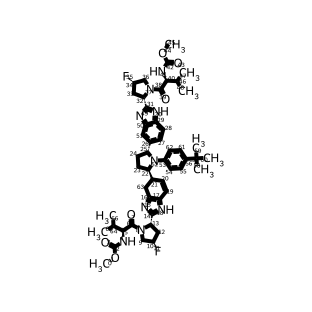 COC(=O)N[C@H](C(=O)N1C[C@@H](F)C[C@H]1c1nc2c([nH]1)C=CC([C@H]1CC[C@H](c3ccc4[nH]c([C@@H]5C[C@H](F)CN5C(=O)[C@@H](NC(=O)OC)C(C)C)nc4c3)N1c1ccc(C(C)(C)C)cc1)C2)C(C)C